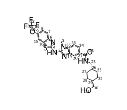 Cn1c(Nc2nc3ccc(OC(F)(F)F)cc3s2)nc2cc(C(=O)NC[C@H]3CC[C@H](CO)CC3)ccc21